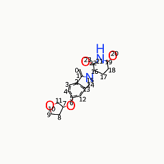 C=C1c2ccc(OC3CCOC3)cc2CN1C1CCC(=O)NC1=O